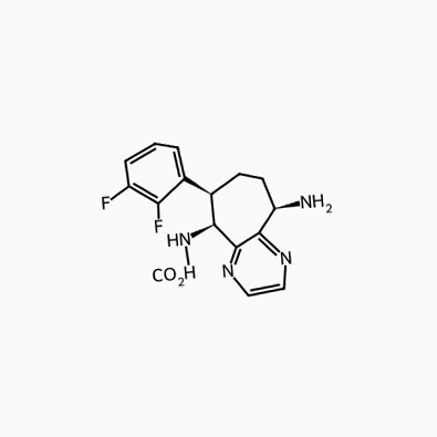 N[C@@H]1CC[C@H](c2cccc(F)c2F)[C@H](NC(=O)O)c2nccnc21